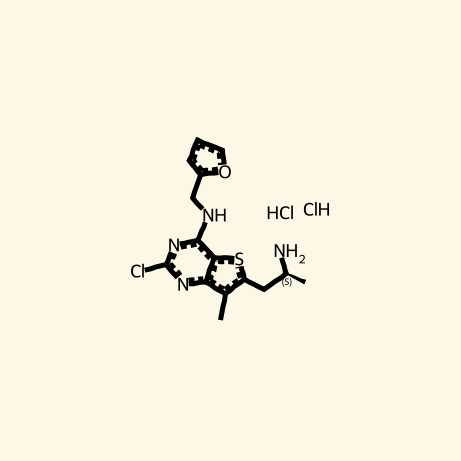 Cc1c(C[C@H](C)N)sc2c(NCc3ccco3)nc(Cl)nc12.Cl.Cl